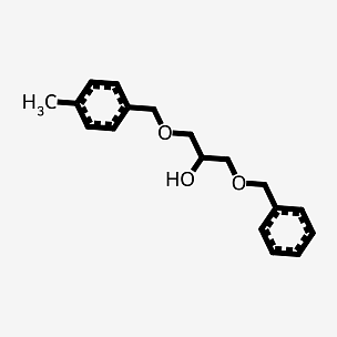 Cc1ccc(COCC(O)COCc2ccccc2)cc1